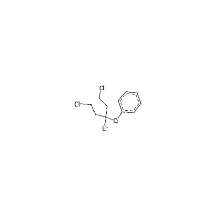 [CH2]CC(CCCl)(CCCl)Oc1ccccc1